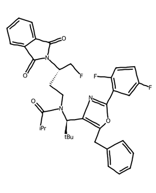 CC(C)C(=O)N(CC[C@@H](CF)N1C(=O)c2ccccc2C1=O)[C@@H](c1nc(-c2cc(F)ccc2F)oc1Cc1ccccc1)C(C)(C)C